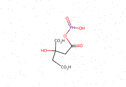 O=C(O)CC(O)(CC(=O)O[PH](=O)O)C(=O)O